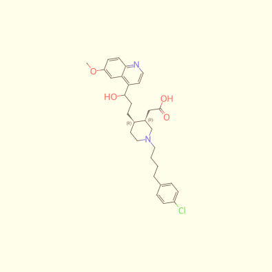 COc1ccc2nccc(C(O)CC[C@@H]3CCN(CCCCc4ccc(Cl)cc4)C[C@@H]3CC(=O)O)c2c1